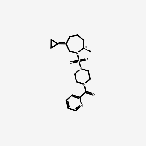 C[C@@H]1CCCC(=C2CC2)CN1S(=O)(=O)N1CCN(C(=O)c2ccccn2)CC1